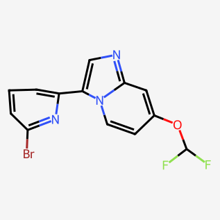 FC(F)Oc1ccn2c(-c3cccc(Br)n3)cnc2c1